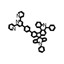 c1ccc(-c2nc3ccccc3c3c4c(ccc23)C2(c3ccc(-c5ccc(-c6cc(-c7ccccn7)nc(-c7ccccn7)c6)cc5)cc3-4)c3ccccc3N(c3ccccc3)c3ccccc32)cc1